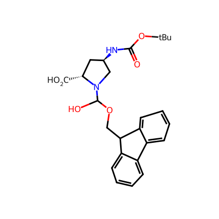 CC(C)(C)OC(=O)N[C@@H]1C[C@@H](C(=O)O)N(C(O)OCC2c3ccccc3-c3ccccc32)C1